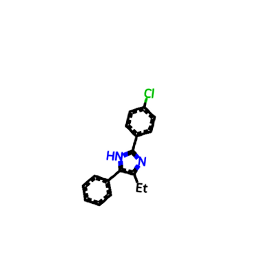 CCc1nc(-c2ccc(Cl)cc2)[nH]c1-c1ccccc1